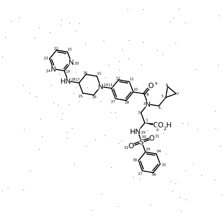 O=C(O)[C@H](CN(CC1CC1)C(=O)c1ccc(N2CCC(Nc3ncccn3)CC2)cc1)NS(=O)(=O)c1ccccc1